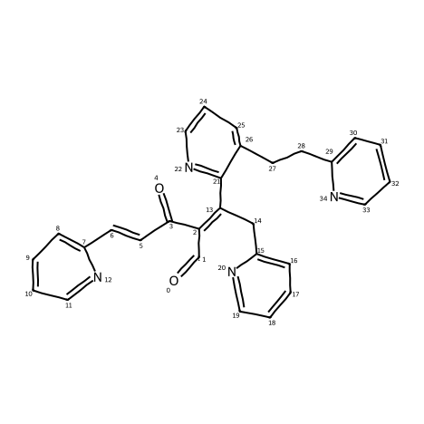 O=[C]C(C(=O)C=Cc1ccccn1)=C(Cc1ccccn1)c1ncccc1CCc1ccccn1